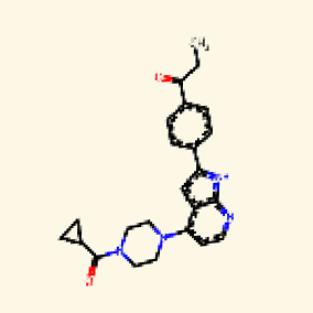 CCC(=O)c1ccc(-c2cc3c(N4CCN(C(=O)C5CC5)CC4)ccnc3[nH]2)cc1